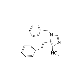 O=[N+]([O-])c1ncn(Cc2ccccc2)c1/C=C/c1ccccc1